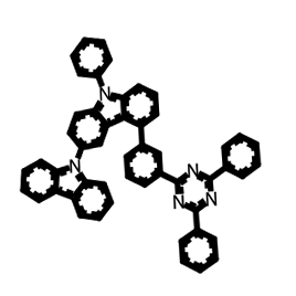 c1ccc(-c2nc(-c3ccccc3)nc(-c3cccc(-c4cccc5c4c4cc(-n6c7ccccc7c7ccccc76)ccc4n5-c4ccccc4)c3)n2)cc1